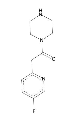 O=C(Cc1ccc(F)cn1)N1CCNCC1